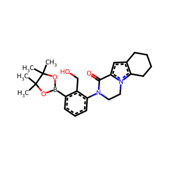 CC1(C)OB(c2cccc(N3CCn4c(cc5c4CCCC5)C3=O)c2CO)OC1(C)C